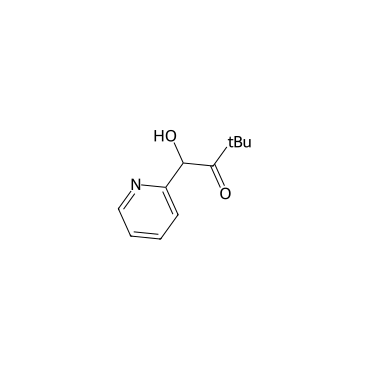 CC(C)(C)C(=O)C(O)c1ccccn1